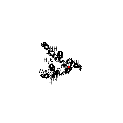 COC12CC3CC(C1)CC(n1c(=O)n(CCOC45CC6CC(C4)CC(n4c(=O)n(CCOC78CC9CC(C7)CC(n7c(=O)n(C)c%10cnc(NC%11=CC%12CCOC%12C=C%11C)nc%107)(C9)C8)c7cnc(Nc8cn9ncnc9cc8C)nc74)(C6)C5)c4cnc(NC5=CC6CCOC6C=C5Cl)nc41)(C3)C2